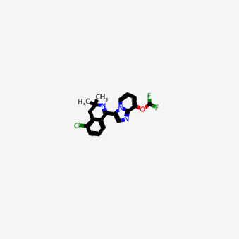 CC1(C)Cc2c(Cl)cccc2C(c2cnc3c(OC(F)F)cccn23)=N1